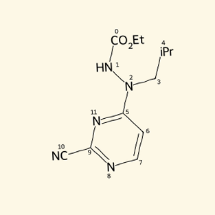 CCOC(=O)NN(CC(C)C)c1ccnc(C#N)n1